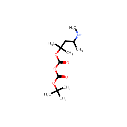 CNC(C)CC(C)(C)OC(=O)OC(=O)OC(C)(C)C